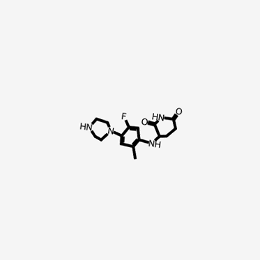 Cc1cc(N2CCNCC2)c(F)cc1NC1CCC(=O)NC1=O